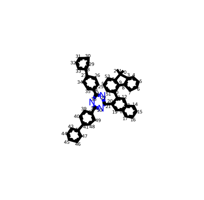 CC1(C)c2ccccc2-c2c(-c3cc4ccccc4cc3-c3nc(-c4ccc(-c5ccccc5)cc4)nc(-c4ccc(-c5ccccc5)cc4)n3)cccc21